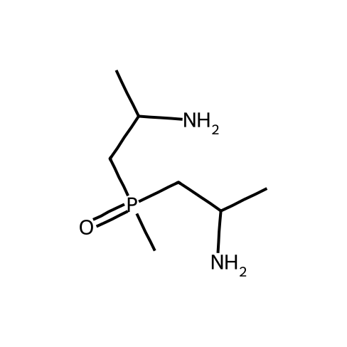 CC(N)CP(C)(=O)CC(C)N